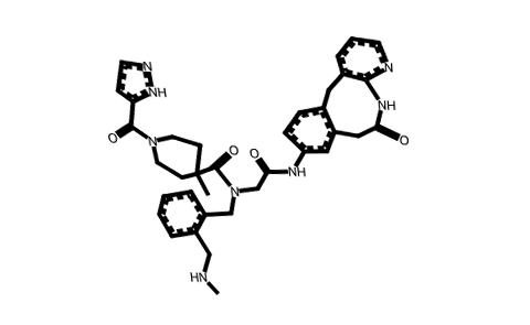 CNCc1ccccc1CN(CC(=O)Nc1ccc2c(c1)CC(=O)Nc1ncccc1C2)C(=O)C1(C)CCN(C(=O)c2ccn[nH]2)CC1